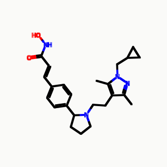 Cc1nn(CC2CC2)c(C)c1CCN1CCCC1c1ccc(C=CC(=O)NO)cc1